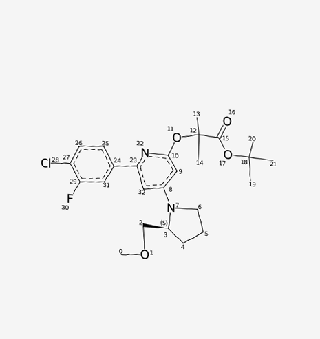 COC[C@@H]1CCCN1c1cc(OC(C)(C)C(=O)OC(C)(C)C)nc(-c2ccc(Cl)c(F)c2)c1